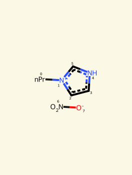 CCC[n+]1cc[nH]c1.O=[N+]([O-])[O-]